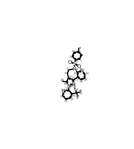 Cc1ccc(S(=O)(=O)N2CCc3c(nn(-c4ncccc4C(F)(F)F)c3C)-c3cccnc32)cc1